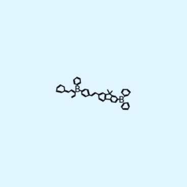 C=C/C(=C\C=C1\C=CC=CC1)B(c1ccccc1)c1ccc(/C=C/c2ccc3c(c2)C(C)(C)c2cc(B(c4ccccc4)c4ccccc4)ccc2-3)cc1